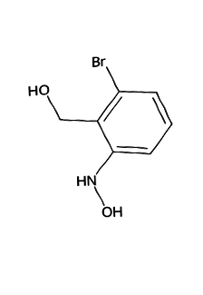 OCc1c(Br)cccc1NO